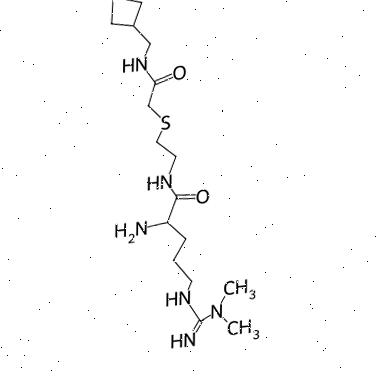 CN(C)C(=N)NCCCC(N)C(=O)NCCSCC(=O)NCC1CCC1